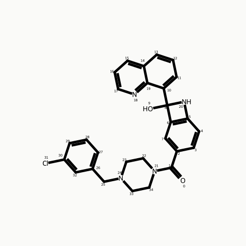 O=C(c1ccc2c(c1)C(O)(c1cccc3cccnc13)N2)N1CCN(Cc2cccc(Cl)c2)CC1